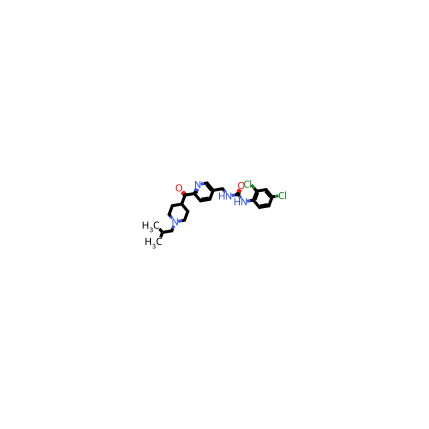 CC(C)CN1CCC(C(=O)c2ccc(CNC(=O)Nc3ccc(Cl)cc3Cl)cn2)CC1